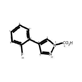 O=C(O)n1cc(-c2ccccc2F)cn1